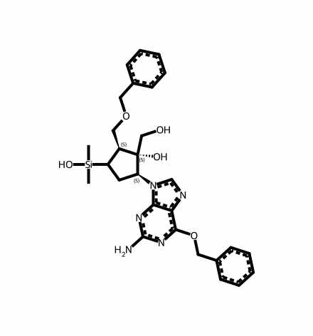 C[Si](C)(O)C1C[C@H](n2cnc3c(OCc4ccccc4)nc(N)nc32)[C@](O)(CO)[C@@H]1COCc1ccccc1